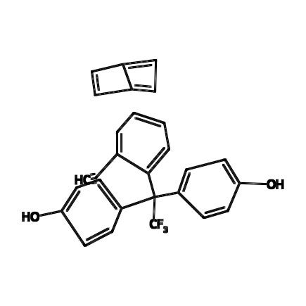 C#Cc1ccccc1C(c1ccc(O)cc1)(c1ccc(O)cc1)C(F)(F)F.c1cc2ccc1-2